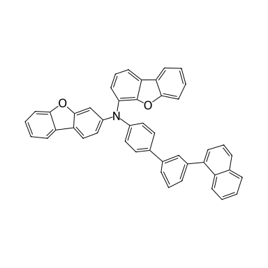 c1cc(-c2ccc(N(c3ccc4c(c3)oc3ccccc34)c3cccc4c3oc3ccccc34)cc2)cc(-c2cccc3ccccc23)c1